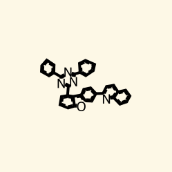 c1ccc(-c2nc(-c3ccccc3)nc(-c3cccc4oc5cc(-c6ccc7ccccc7n6)ccc5c34)n2)cc1